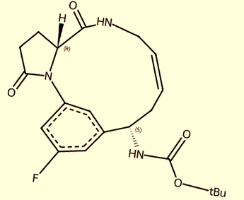 CC(C)(C)OC(=O)N[C@H]1CC=CCNC(=O)[C@H]2CCC(=O)N2c2cc(F)cc1c2